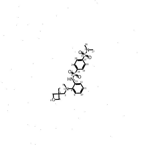 CN(CC1(C)COC1)c1ccccc1NS(=O)(=O)c1ccc(S(=O)(=O)N(C)C)cc1